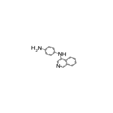 Nc1ccc(Nc2cncc3ccccc23)cc1